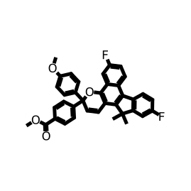 COC(=O)c1ccc(C2(c3ccc(OC)cc3)C=Cc3c4c(c5ccc(F)cc5c3O2)-c2ccc(F)cc2C4(C)C)cc1